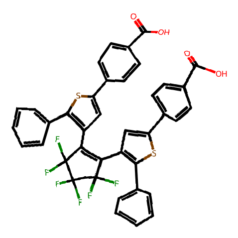 O=C(O)c1ccc(-c2cc(C3=C(c4cc(-c5ccc(C(=O)O)cc5)sc4-c4ccccc4)C(F)(F)C(F)(F)C3(F)F)c(-c3ccccc3)s2)cc1